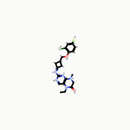 CCN1C(=O)CN(C)c2nc(N=C3CC(COc4ccc(F)cc4Cl)C3)ncc21